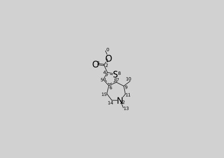 COC(=O)c1cc2c(s1)C(C)CN(C)CC2